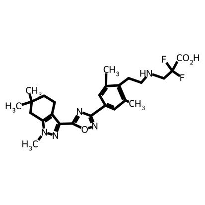 Cc1cc(-c2noc(-c3nn(C)c4c3CCC(C)(C)C4)n2)cc(C)c1CCNCC(F)(F)C(=O)O